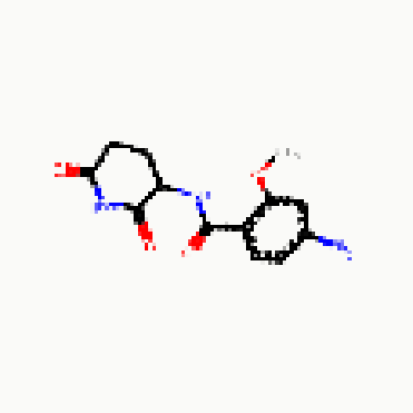 COc1cc(N)ccc1C(=O)NC1CCC(=O)NC1=O